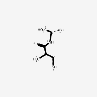 CCC(C)[C@H](NC(=O)C(C)CS)C(=O)O